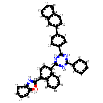 c1ccc(-c2nc(-c3ccc(-c4ccc5ccccc5c4)cc3)nc(-c3ccc(-c4nc5ccccc5o4)c4ccccc34)n2)cc1